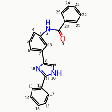 O=C(Nc1cccc(-c2c[nH]c(-c3ccccc3)n2)c1)c1ccccc1